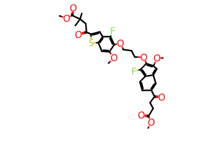 COC(=O)CCC(=O)c1ccc2c(F)c(OCCCOc3c(OC)cc4sc(C(=O)CC(C)(C)C(=O)OC)cc4c3F)c(OC)cc2c1